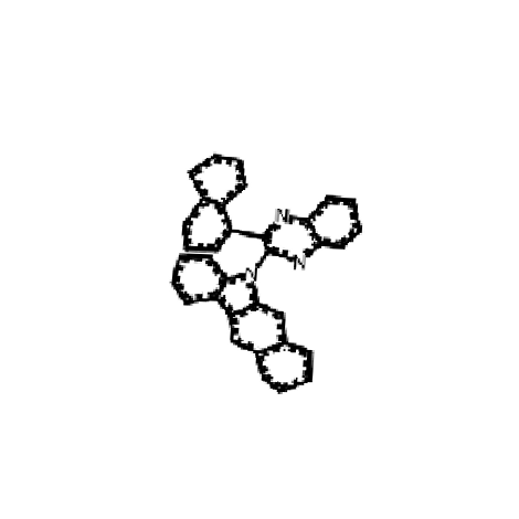 c1ccc2cc3c(cc2c1)c1ccccc1n3-c1nc2ccccc2nc1-c1cccc2ccccc12